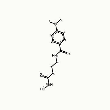 CN(C)c1ccc(C(=O)NCCCC(=O)NO)cc1